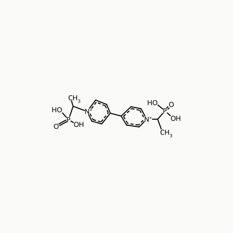 CC([n+]1ccc(-c2cc[n+](C(C)P(=O)(O)O)cc2)cc1)P(=O)(O)O